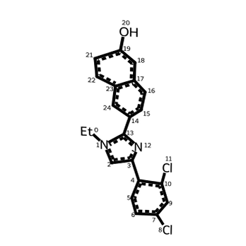 CCn1cc(-c2ccc(Cl)cc2Cl)nc1-c1ccc2cc(O)ccc2c1